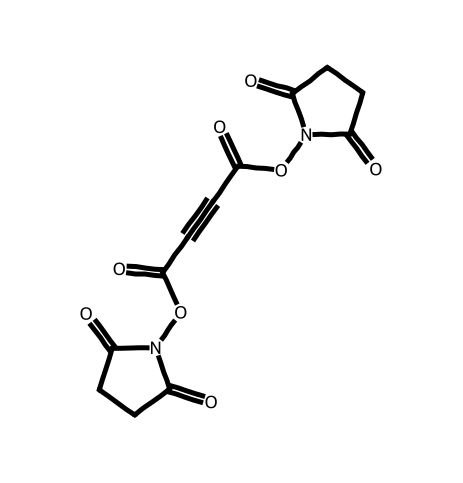 O=C(C#CC(=O)ON1C(=O)CCC1=O)ON1C(=O)CCC1=O